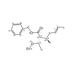 C/C=C/C[C@@H](C)[C@@H](C(=O)OCc1ccccc1)C(C)OCC